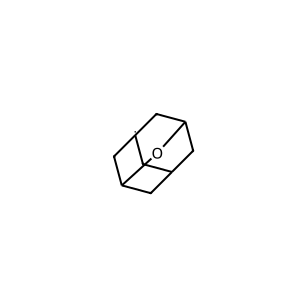 C1[C]2CC3CC1CC(C2)O3